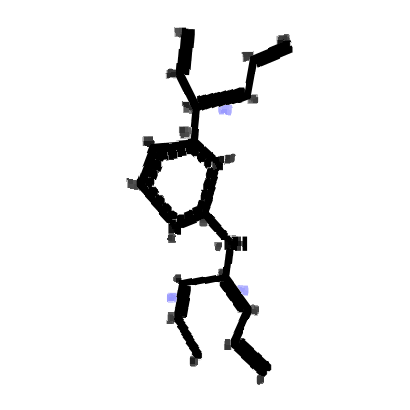 C=C/C=C(\C=C/C)Nc1nccc(/C(C=C)=C/C=C)n1